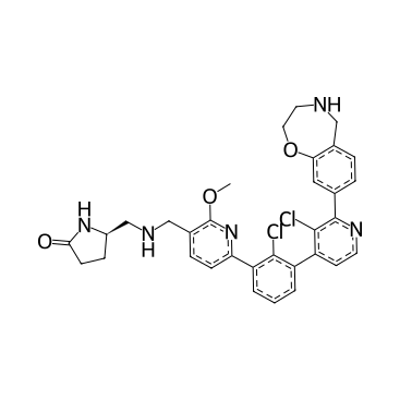 COc1nc(-c2cccc(-c3ccnc(-c4ccc5c(c4)OCCNC5)c3Cl)c2Cl)ccc1CNC[C@H]1CCC(=O)N1